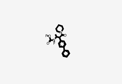 CC(C(C(=O)N1CCCCC1)c1ccc(-c2ccccc2)cc1)N(F)C(=O)OF